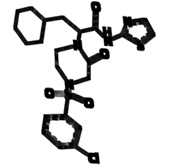 O=C(Nc1nccs1)C(CC1CCCCC1)N1CCN(S(=O)(=O)c2cccc(Cl)c2)CC1=O